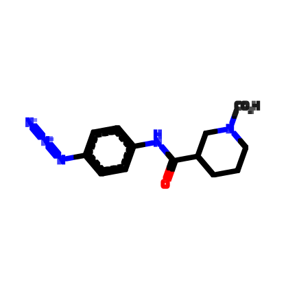 [N-]=[N+]=Nc1ccc(NC(=O)C2CCCN(C(=O)O)C2)cc1